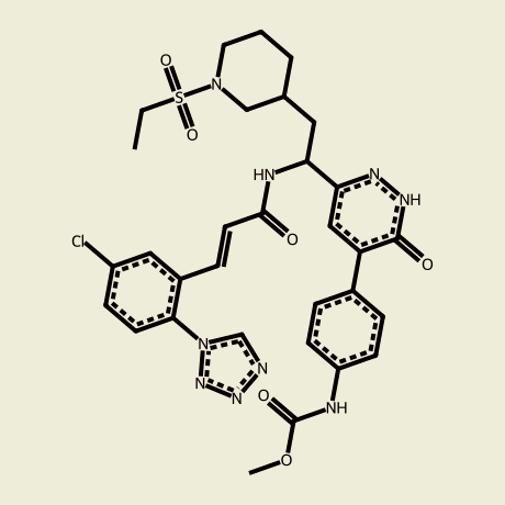 CCS(=O)(=O)N1CCCC(CC(NC(=O)C=Cc2cc(Cl)ccc2-n2cnnn2)c2cc(-c3ccc(NC(=O)OC)cc3)c(=O)[nH]n2)C1